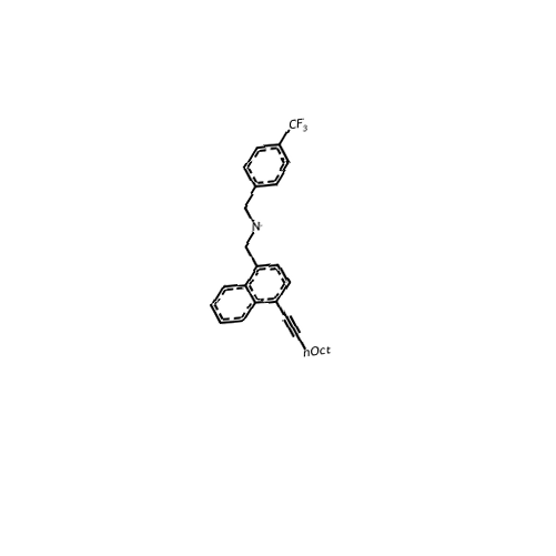 CCCCCCCCC#Cc1ccc(C[N]Cc2ccc(C(F)(F)F)cc2)c2ccccc12